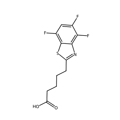 O=C(O)CCCCc1nc2c(F)c(F)cc(F)c2s1